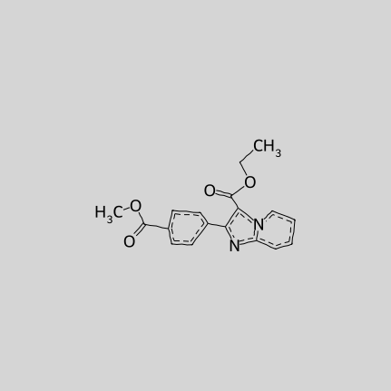 CCOC(=O)c1c(-c2ccc(C(=O)OC)cc2)nc2ccccn12